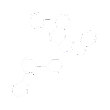 c1cc(-c2cccc3c2oc2ccccc23)cc(-n2c3ccc4ccccc4c3c3c4cccc5c4c(cc32)-c2ccccc2-5)c1